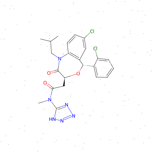 CC(C)CN1C(=O)[C@H](CC(=O)N(C)c2nnn[nH]2)O[C@@H](c2ccccc2Cl)c2cc(Cl)ccc21